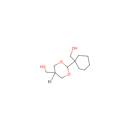 CCC1(CO)COC(C2(CO)CCCCC2)OC1